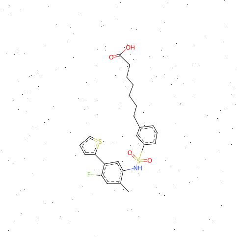 Cc1cc(F)c(-c2cccs2)cc1NS(=O)(=O)c1cccc(CCCCCCC(=O)O)c1